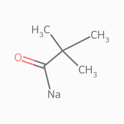 CC(C)(C)[C](=O)[Na]